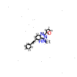 CCNc1nc(-c2ccco2)nc2ccc(C#Cc3ccccc3)cc12